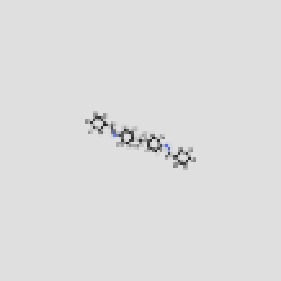 CC(C)(c1ccc(N=Cc2ccccc2)cc1)c1ccc(N=Cc2ccccc2)cc1